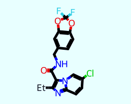 CCc1nc2ccc(Cl)cn2c1C(=O)NCc1ccc2c(c1)OC(F)(F)O2